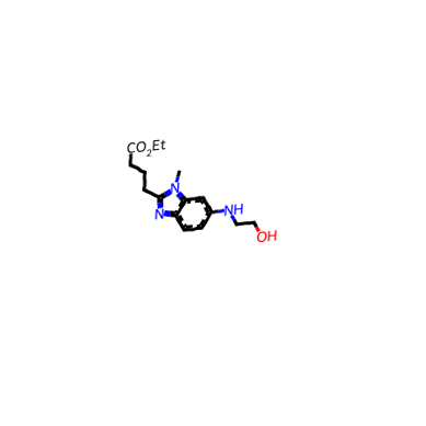 CCOC(=O)CCCc1nc2ccc(NCCO)cc2n1C